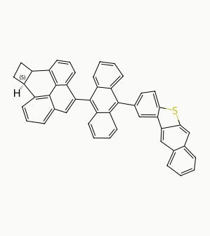 c1ccc2cc3c(cc2c1)sc1ccc(-c2c4ccccc4c(-c4cc5cccc6c5c5c(cccc45)C4CC[C@H]64)c4ccccc24)cc13